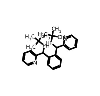 CC(C)(C)PC(c1ccccn1)c1ccccc1C(PC(C)(C)C)c1ccccn1